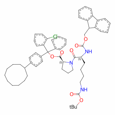 CC(C)(C)OC(=O)NCCCC[C@H](NC(=O)OCC1c2ccccc2-c2ccccc21)C(=O)N1CCC[C@H]1C(=O)OC(c1ccccc1)(c1ccc(C2CCCCCCCCC2)cc1)c1ccccc1Cl